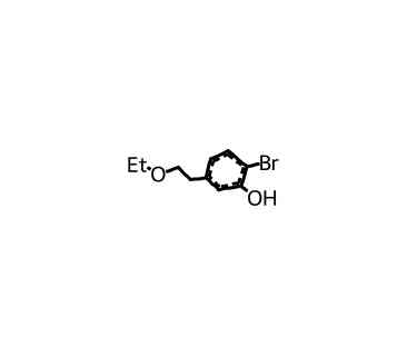 CCOCCc1ccc(Br)c(O)c1